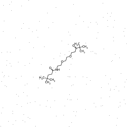 CC(C)(C)CCC(=O)NCCOCCOCCC(=O)C(C)(C)C